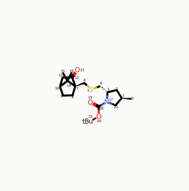 C[C@@H]1C[C@@H](CSC[C@]23CCC(CC2=O)C3(C)C)N(C(=O)OC(C)(C)C)C1